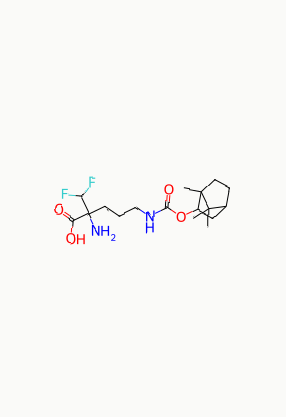 CC1(C)C2CCC1(C)C(OC(=O)NCCCC(N)(C(=O)O)C(F)F)C2